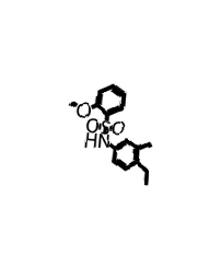 CCc1ccc(NS(=O)(=O)c2ccccc2OC)cc1C